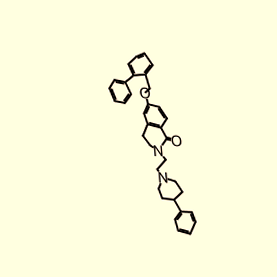 O=C1c2ccc(OCc3ccccc3-c3ccccc3)cc2CCN1CCN1CCC(c2ccccc2)CC1